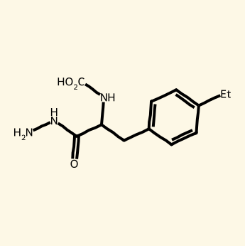 CCc1ccc(CC(NC(=O)O)C(=O)NN)cc1